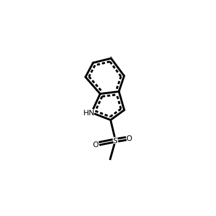 CS(=O)(=O)c1cc2c[c]ccc2[nH]1